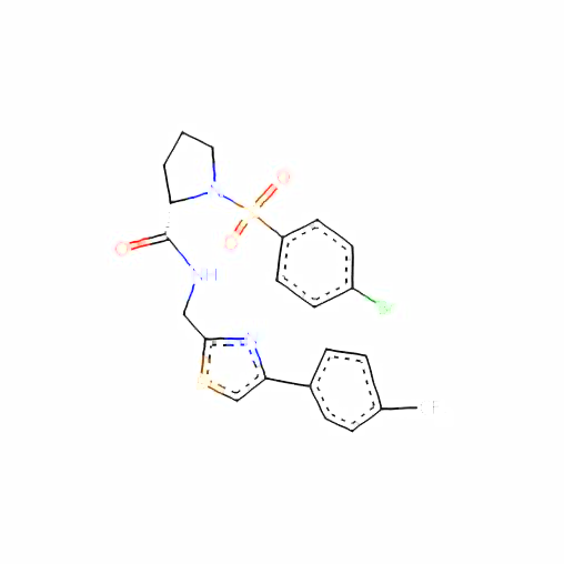 O=C(NCc1nc(-c2ccc(C(F)(F)F)cc2)cs1)[C@@H]1CCCN1S(=O)(=O)c1ccc(Br)cc1